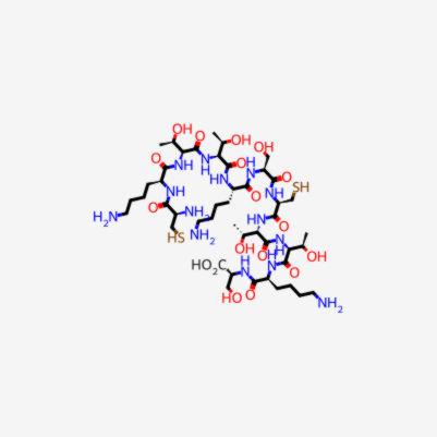 C[C@@H](O)[C@H](NC(=O)[C@H](CS)NC(=O)[C@H](CO)NC(=O)[C@H](CCCCN)NC(=O)[C@@H](NC(=O)[C@@H](NC(=O)[C@H](CCCCN)NC(=O)[C@@H](N)CS)[C@@H](C)O)[C@@H](C)O)C(=O)N[C@H](C(=O)N[C@@H](CCCCN)C(=O)N[C@@H](CO)C(=O)O)[C@@H](C)O